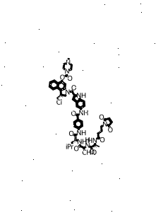 CC(C)C[C@H](NC(=O)C(C=O)NC(=O)[C@H](C)NC(=O)CCCN1C(=O)C=CC1=O)C(=O)Nc1ccc(C(=O)Nc2ccc3[nH]c(C(=O)N4C[C@@H](CCl)c5c4cc(OC(=O)N4CCN(C)CC4)c4ccccc54)cc3c2)cc1